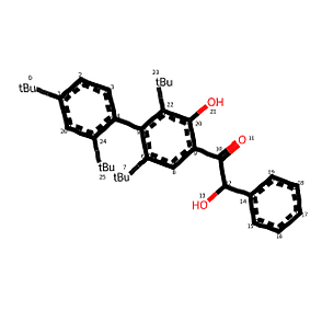 CC(C)(C)c1ccc(-c2c(C(C)(C)C)cc(C(=O)C(O)c3ccccc3)c(O)c2C(C)(C)C)c(C(C)(C)C)c1